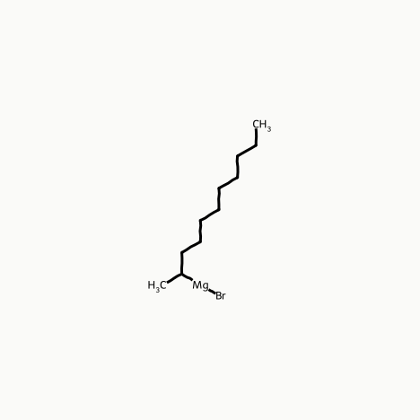 CCCCCCCCC[CH](C)[Mg][Br]